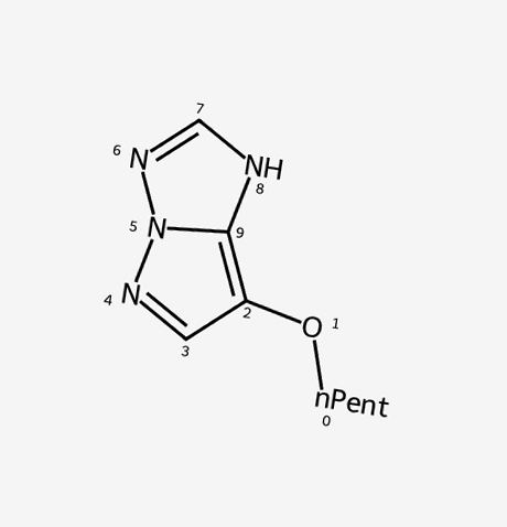 CCCCCOc1cnn2nc[nH]c12